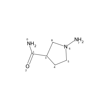 NC(=O)C1CCN(N)C1